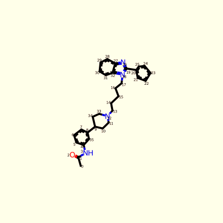 CC(=O)Nc1cccc(C2CCN(CCCCCn3c(-c4ccccc4)nc4ccccc43)CC2)c1